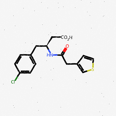 O=C(O)C[C@H](Cc1ccc(Cl)cc1)NC(=O)Cc1ccsc1